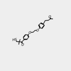 CC(=O)CCc1ccc(OCCOc2ccc(C(=O)C(C)(C)CS)cc2)cc1